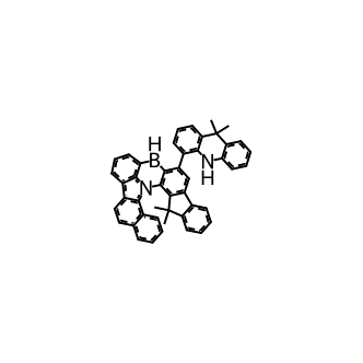 CC1(C)c2ccccc2Nc2c(-c3cc4c(c5c3Bc3cccc6c7ccc8ccccc8c7n-5c36)C(C)(C)c3ccccc3-4)cccc21